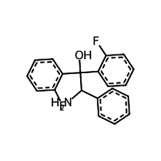 NC(c1ccccc1)C(O)(c1ccccc1F)c1ccccc1F